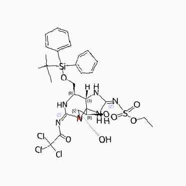 CCOS(=O)(=O)/N=C1/N[C@H]2[C@H](CO[Si](c3ccccc3)(c3ccccc3)C(C)(C)C)N/C(=N/C(=O)C(Cl)(Cl)Cl)N3C[C@H](O)[C@H](O)C23N1